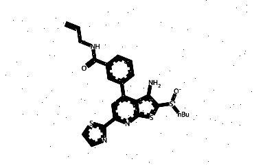 C=CCNC(=O)c1cccc(-c2cc(-c3nccs3)nc3sc([S+]([O-])CCCC)c(N)c23)c1